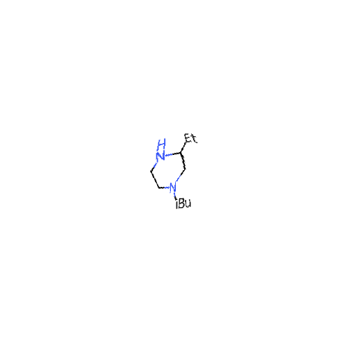 CCC1CN(C(C)CC)CCN1